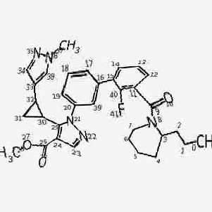 CCCC1CCCCN1C(=O)c1cccc(-c2cccc(-n3ncc(C(=O)OC)c3C3CC3c3cnn(C)c3)c2)c1F